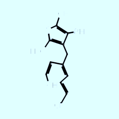 Bc1c(C)sc(C)c1CC(/C=C\C)=C/C=C/Cl